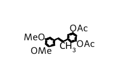 COc1cc(/C=C(\C)c2cc(OC(C)=O)cc(OC(C)=O)c2)cc(OC)c1